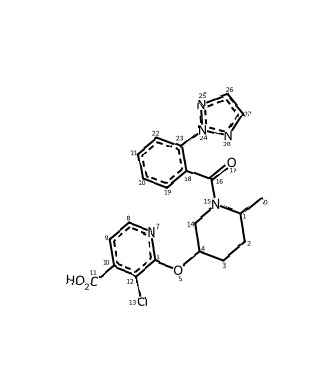 CC1CCC(Oc2nccc(C(=O)O)c2Cl)CN1C(=O)c1ccccc1-n1nccn1